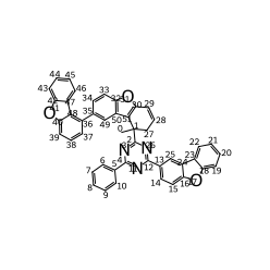 CC1(c2nc(-c3ccccc3)nc(-c3ccc4oc5ccccc5c4c3)n2)CC=Cc2oc3ccc(-c4cccc5oc6ccccc6c45)cc3c21